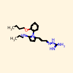 CCCCOc1ccccc1-n1c(/C=C/C=N/NC(=N)N)ccc1NCCC